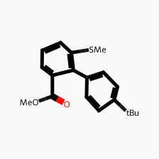 COC(=O)c1cccc(SC)c1-c1ccc(C(C)(C)C)cc1